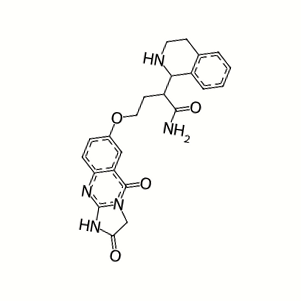 NC(=O)C(CCOc1ccc2nc3n(c(=O)c2c1)CC(=O)N3)C1NCCc2ccccc21